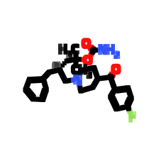 CC(C)(C[C@@H](Cc1ccccc1)CN1CCC(C(=O)c2ccc(F)cc2)CC1)OC(N)=O